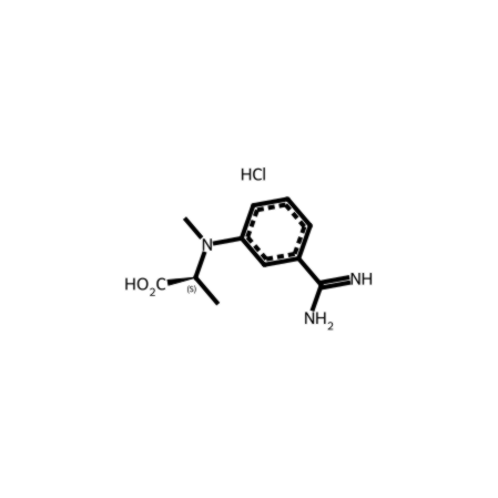 C[C@@H](C(=O)O)N(C)c1cccc(C(=N)N)c1.Cl